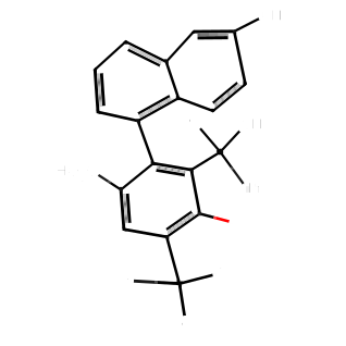 Cc1ccc2c(-c3c(C(=O)O)cc(C(C)(C)C(C)C)c(O)c3C(C)(C)C(C)C)cccc2c1